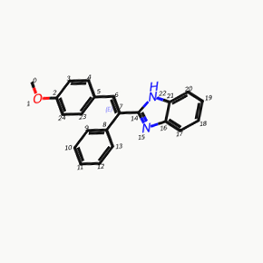 COc1ccc(/C=C(\c2ccccc2)c2nc3ccccc3[nH]2)cc1